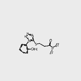 CCN(CC)C(=O)CCSc1nnnn1-c1ccccc1O